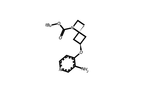 CC(C)(C)OC(=O)N1CC[C@]12C[C@H](Oc1ccncc1N)C2